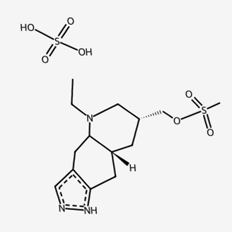 CCN1C[C@H](COS(C)(=O)=O)C[C@@H]2Cc3[nH]ncc3CC21.O=S(=O)(O)O